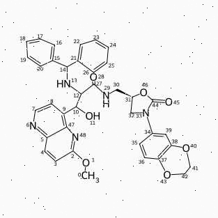 COc1ccc2nccc(C(O)C(NC(c3ccccc3)c3ccccc3)C(=O)NC[C@@H]3CN(c4ccc5c(c4)OCCO5)C(=O)O3)c2n1